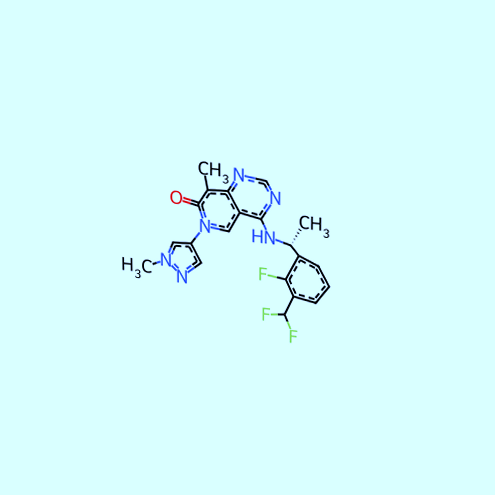 Cc1c(=O)n(-c2cnn(C)c2)cc2c(N[C@H](C)c3cccc(C(F)F)c3F)ncnc12